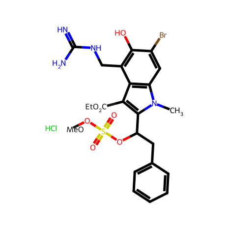 CCOC(=O)c1c(C(Cc2ccccc2)OS(=O)(=O)OOC)n(C)c2cc(Br)c(O)c(CNC(=N)N)c12.Cl